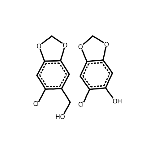 OCc1cc2c(cc1Cl)OCO2.Oc1cc2c(cc1Cl)OCO2